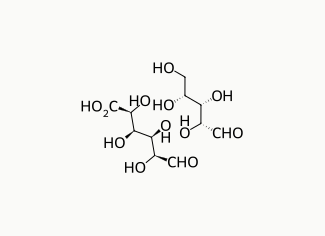 O=C[C@@H](O)[C@H](O)[C@@H](O)[C@H](O)C(=O)O.O=C[C@H](O)[C@@H](O)[C@H](O)CO